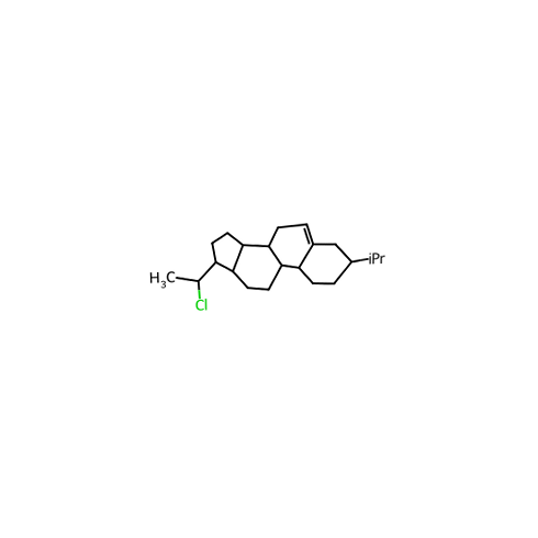 CC(C)C1CCC2C(=CCC3C2CCC2C(C(C)Cl)CCC23)C1